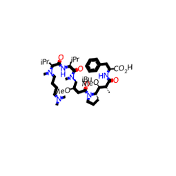 CC[C@H](C)[C@@H]([C@@H](CC(=O)N1CCC[C@H]1[C@H](OC)[C@@H](C)C(=O)N[C@@H](Cc1ccccc1)C(=O)O)OC)N(C)C(=O)[C@@H](NC(=O)[C@H](C(C)C)N(C)CCCCN(C)C)C(C)C